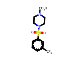 O=C(O)N1CCN(S(=O)(=O)c2cccc(C(F)(F)F)c2)CC1